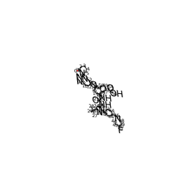 C[C@H]1CCCCN1c1nnc2ccc(O[C@@H]3CC[C@H](NC(=O)Nc4cc(C(C)(C)C)nn4-c4ccc(CN5CCC(F)CC5)cc4)c4ccccc43)cn12.O=CO